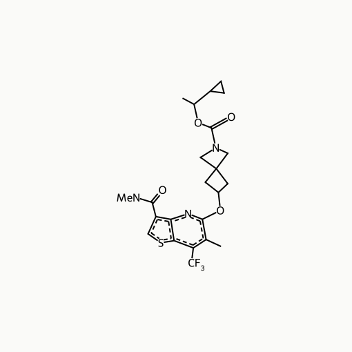 CNC(=O)c1csc2c(C(F)(F)F)c(C)c(OC3CC4(C3)CN(C(=O)OC(C)C3CC3)C4)nc12